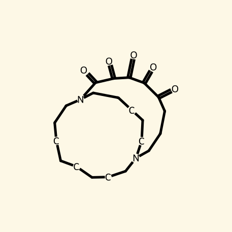 O=C1CCCN2CCCCCCCCN(CCCCC2)C(=O)C(=O)C(=O)C1=O